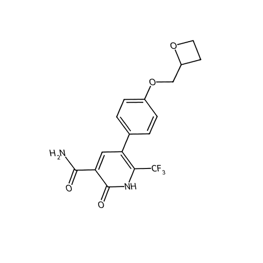 NC(=O)c1cc(-c2ccc(OCC3CCO3)cc2)c(C(F)(F)F)[nH]c1=O